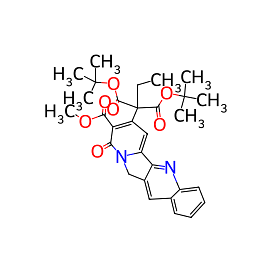 CCC(C(=O)OC(C)(C)C)(C(=O)OC(C)(C)C)c1cc2n(c(=O)c1C(=O)OC)Cc1cc3ccccc3nc1-2